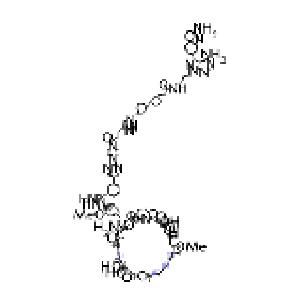 CO[C@H]1C[C@@H]2CC[C@@H](C)[C@@](O)(O2)C(=O)C(=O)N2CCCC[C@H]2C(=O)O[C@H]([C@H](N)C[C@@H]2CC[C@H](N3NNC=C3c3cccc(-c4cnc(N5CCN(C(=O)CCc6cn(CCOCCOCCC(=O)NCCCCn7nc(-c8ccc9oc(N)nc9c8)c8c(N)ncnc87)nn6)CC5)nc4)c3)[C@H](OC)C2)CC(=O)[C@H](C)/C=C(\C)[C@@H](O)[C@@H](O)C(=O)[C@H](C)C[C@H](C)/C=C/C=C/C=C/1C